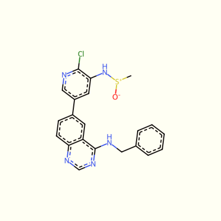 C[S+]([O-])Nc1cc(-c2ccc3ncnc(NCc4ccccc4)c3c2)cnc1Cl